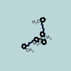 Cc1ccccc1/C=C/C=C/c1ccc(N(c2ccc(/C=C/C=C/c3ccccc3C)cc2)c2c(C)cccc2C)cc1